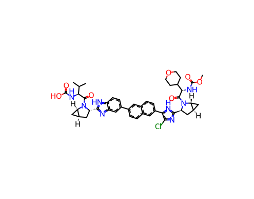 COC(=O)N[C@H](C(=O)N1[C@@H]2C[C@H]2C[C@H]1c1nc(Cl)c(-c2ccc3cc(-c4ccc5[nH]c([C@@H]6C[C@H]7C[C@H]7N6C(=O)[C@@H](NC(=O)O)C(C)C)nc5c4)ccc3c2)[nH]1)C1CCOCC1